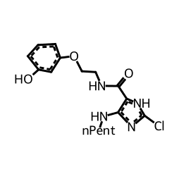 CCCCCNc1nc(Cl)[nH]c1C(=O)NCCOc1cccc(O)c1